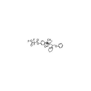 CC(COc1ccccc1)N1CCCC[C@@H]1C(=O)N[C@@H](C)c1ccc(OC(=O)C(F)(F)C(=O)OF)cc1